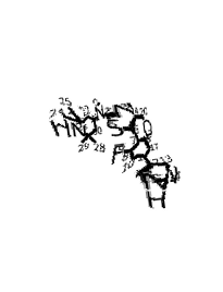 CN(c1nc2c(s1)-c1c(F)cc(-c3cn[nH]c3)cc1OC2)C1CC(C)(C)NC(C)(C)C1